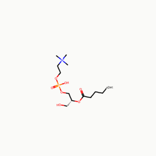 CCCCCCCCCCCCCC(=O)O[C@H](CO)COP(=O)(O)OCC[N+](C)(C)C